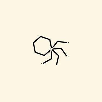 [CH2]CS1(C[CH2])(C[CH2])(C[CH2])CCCCC1